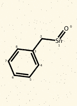 [O]=[Sn][CH2]c1ccccc1